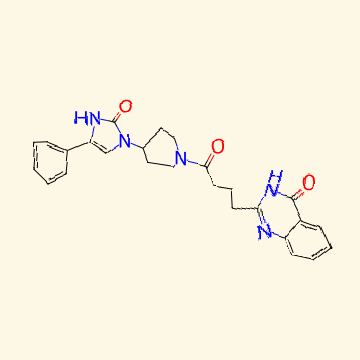 O=C(CCCc1nc2ccccc2c(=O)[nH]1)N1CCC(n2cc(-c3ccccc3)[nH]c2=O)CC1